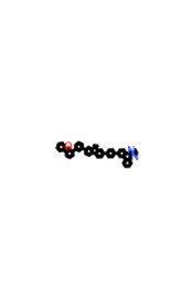 CC1(C)c2cc(-c3ccc(-c4ccc5c(c4)c4ccccc4c4nccnc54)cc3)ccc2-c2ccc(-c3cccc(-c4cccc5c4oc4ccccc45)c3)cc21